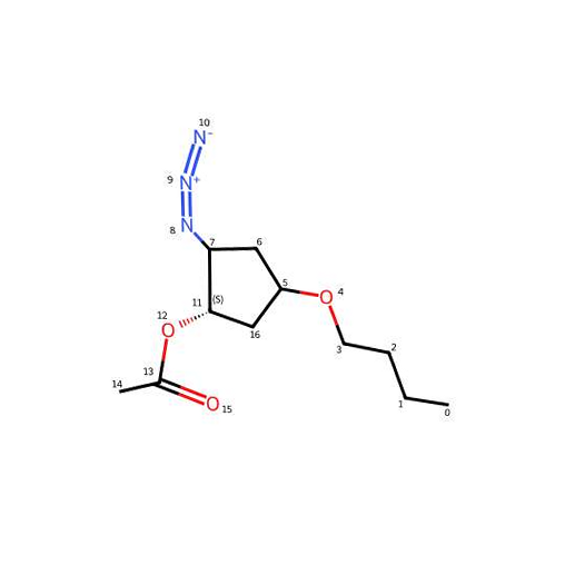 CCCCOC1CC(N=[N+]=[N-])[C@@H](OC(C)=O)C1